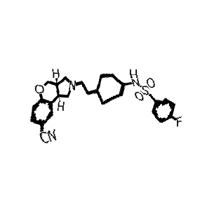 N#Cc1ccc2c(c1)[C@@H]1CN(CCC3CCC(NS(=O)(=O)c4ccc(F)cc4)CC3)C[C@H]1CO2